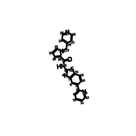 O=C(Nc1nc2cc(-c3ccccn3)ccc2s1)c1cccn1Cc1ccncc1